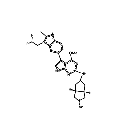 COc1nc(NC2C[C@@H]3CN(C(C)=O)C[C@@H]3C2)nc2[nH]cc(-c3ccc4nc(C)n(CC(F)F)c4c3)c12